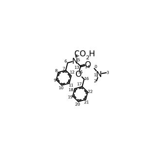 CN(C)C.O=C(O)N(Cc1ccccc1)C(=O)OCc1ccccc1